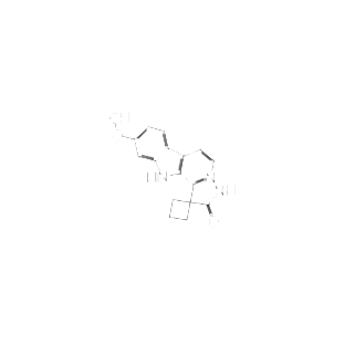 COc1ccc2c(c1)[nH]c1c(C3(C(N)=O)CCC3)nccc12